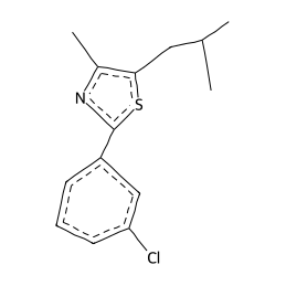 Cc1nc(-c2cccc(Cl)c2)sc1CC(C)C